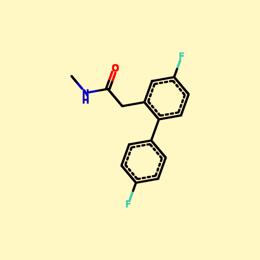 CNC(=O)Cc1cc(F)ccc1-c1ccc(F)cc1